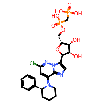 O=P(O)(O)CP(=O)(O)OC[C@H]1OC(c2cnc3c(N4CCCC[C@H]4c4ccccc4)cc(Cl)nn23)[C@H](O)[C@@H]1O